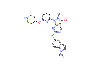 Cn1ccc2cc(Nc3ncc4c(=O)n(C)n(-c5cccc(OC6CCNCC6)n5)c4n3)ccc21